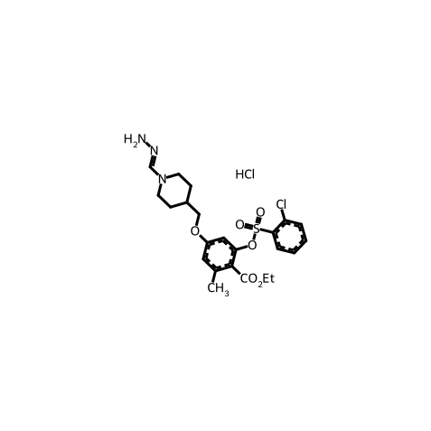 CCOC(=O)c1c(C)cc(OCC2CCN(C=NN)CC2)cc1OS(=O)(=O)c1ccccc1Cl.Cl